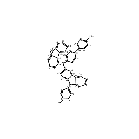 Cc1ccc(-n2c3ccccc3c3cc(N(c4ccc(-c5ccc(F)cc5)cc4)c4cccc5oc6ccccc6c45)ccc32)cc1